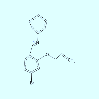 C=CCOc1cc(Br)ccc1/C=N/c1ccccc1